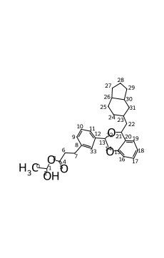 CC(O)OC(=O)CCc1cccc(C2Oc3ccccc3C(CC3CCC4CCCC4C3)O2)c1